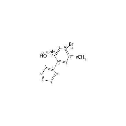 Cc1cc(-c2cc[c]cc2)ccc1Br.OS